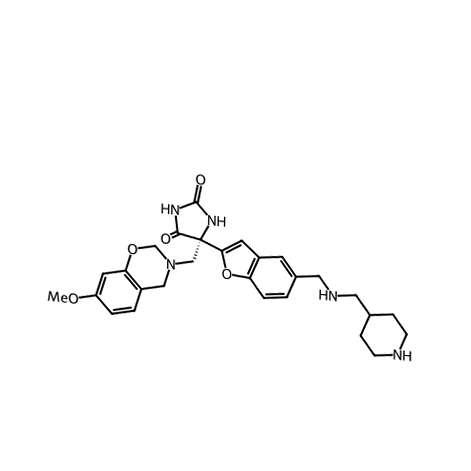 COc1ccc2c(c1)OCN(C[C@@]1(c3cc4cc(CNCC5CCNCC5)ccc4o3)NC(=O)NC1=O)C2